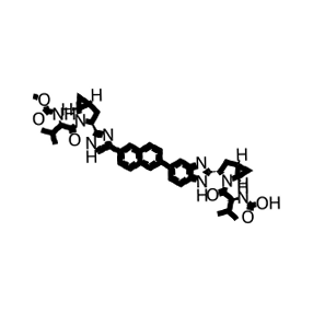 COC(=O)N[C@H](C(=O)N1[C@@H]2C[C@@H]2C[C@H]1c1nc(-c2ccc3cc(-c4ccc5[nH]c([C@@H]6C[C@H]7C[C@H]7N6C(=O)[C@@H](NC(=O)O)C(C)C)nc5c4)ccc3c2)c[nH]1)C(C)C